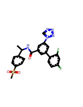 CC(NC(=O)c1cc(-c2ccc(F)cc2F)cc(-n2cnnn2)c1)c1ccc(S(C)(=O)=O)cc1